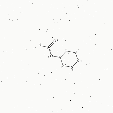 CC(=O)OC1CCSSC1